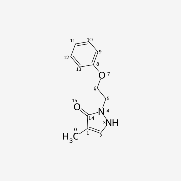 Cc1c[nH]n(CCOc2ccccc2)c1=O